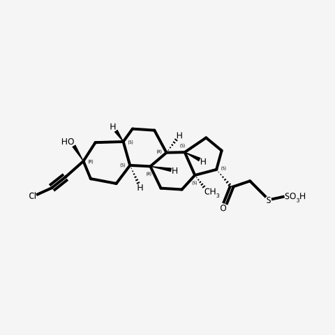 C[C@]12CC[C@H]3[C@@H](CC[C@H]4C[C@@](O)(C#CCl)CC[C@@H]43)[C@@H]1CC[C@@H]2C(=O)CSS(=O)(=O)O